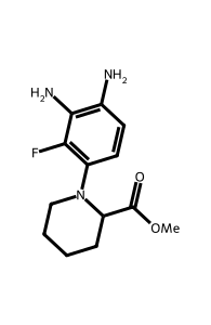 COC(=O)C1CCCCN1c1ccc(N)c(N)c1F